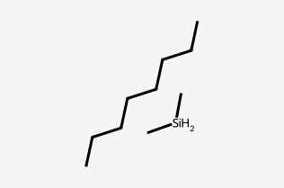 CCCCCCCC.C[SiH2]C